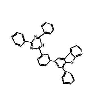 c1ccc(-c2nc(-c3ccccc3)nc(-c3cccc(-c4cc(-c5ccccc5)c5sc6ccccc6c5c4)c3)n2)cc1